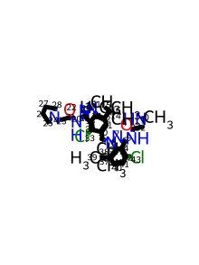 CNCC(=O)Nc1nn(Cc2cc(C(C)(C)C)c3c(c(NC(=O)CN4CCCC4)nn3C)c2Cl)c2c(C(C)(C)C)ccc(Cl)c12